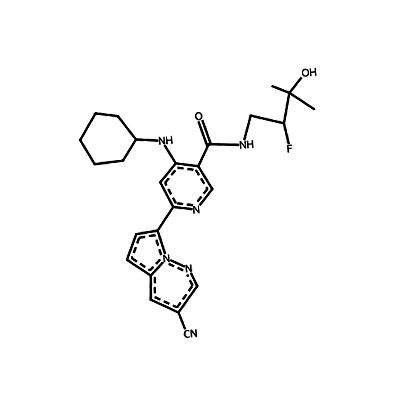 CC(C)(O)C(F)CNC(=O)c1cnc(-c2ccc3cc(C#N)cnn23)cc1NC1CCCCC1